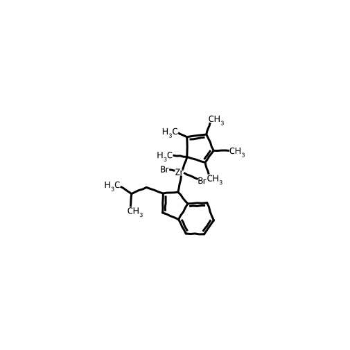 CC1=C(C)[C](C)([Zr]([Br])([Br])[CH]2C(CC(C)C)=Cc3ccccc32)C(C)=C1C